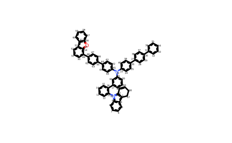 C1=Cc2c(c3ccccc3n2-c2ccccc2-c2cccc(N(c3ccc(-c4ccc(-c5ccccc5)cc4)cc3)c3ccc(-c4ccc(-c5cccc6c5oc5ccccc56)cc4)cc3)c2)CC1